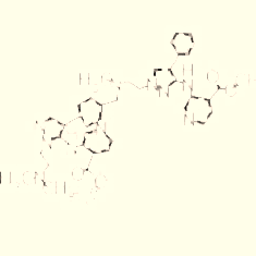 COC(=O)c1ccncc1Nc1nn(CCN(C)Cc2ccc(-c3cnn(CCN(C)C)c3Nc3cnccc3C(=O)OC)cc2)cc1-c1ccccc1